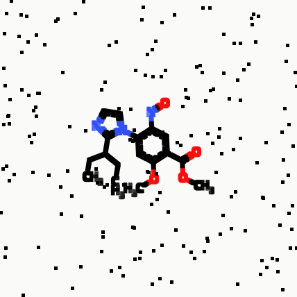 CCC(CC)c1nccn1-c1cc(OC)c(C(=O)OC)cc1N=O